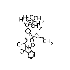 C=CCOC(=O)N1C[C@H](O[Si](C)(C)C(C)(C)C)C[C@H]1C=CC(Cl)N1C(=O)c2ccccc2C1=O